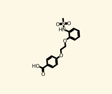 CS(=O)(=O)Nc1ccccc1OCCOc1ccc(C(=O)O)cc1